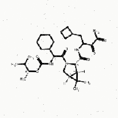 CC(C)[C@@H](C)OC(=O)N[C@H](C(=O)N1C[C@H]2[C@@H]([C@H]1C(=O)NC(CC1CCC1)C(=O)C(N)=O)C2(C)C)C1CCCCC1